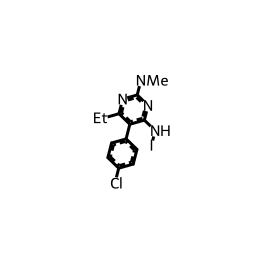 CCc1nc(NC)nc(NI)c1-c1ccc(Cl)cc1